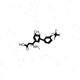 Cc1cc(-c2cccc(OC(F)(F)F)c2)cc([C@@H](N)CC(=O)O)c1